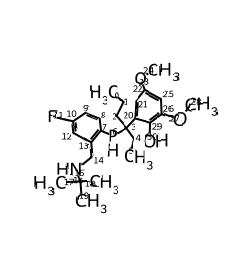 CCCC(CC)(Pc1ccc(F)cc1CNC(C)(C)C)c1cc(OC)cc(OC)c1O